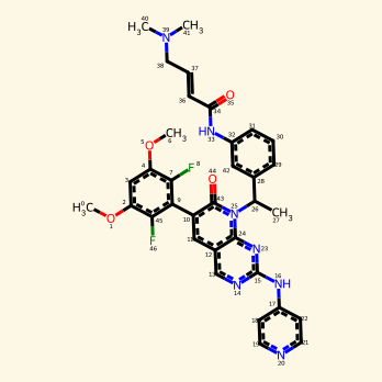 COc1cc(OC)c(F)c(-c2cc3cnc(Nc4ccncc4)nc3n(C(C)c3cccc(NC(=O)/C=C/CN(C)C)c3)c2=O)c1F